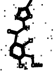 COSc1c(C(F)(F)F)ccc(C(=O)Nc2nnc(C)o2)c1Cl